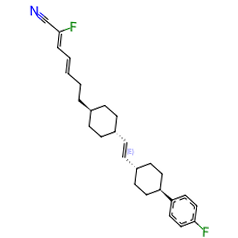 N#CC(F)=CC=CCC[C@H]1CC[C@H](/C=C/[C@H]2CC[C@H](c3ccc(F)cc3)CC2)CC1